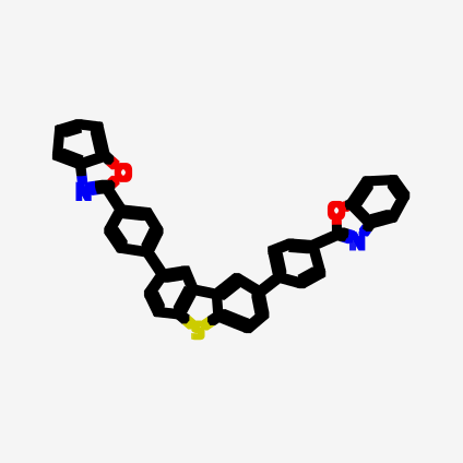 c1ccc2oc(-c3ccc(-c4ccc5sc6ccc(-c7ccc(-c8nc9ccccc9o8)cc7)cc6c5c4)cc3)nc2c1